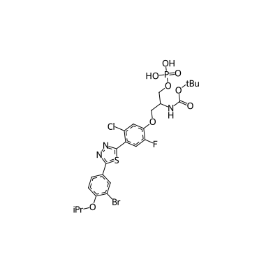 CC(C)Oc1ccc(-c2nnc(-c3cc(F)c(OCC(COP(=O)(O)O)NC(=O)OC(C)(C)C)cc3Cl)s2)cc1Br